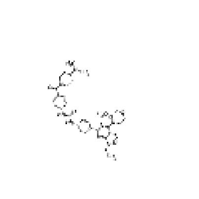 CCn1nnc2c(N3CCOC[C@@H]3C)nc(-c3ccc(NC(=O)Nc4ccc(C(=O)N5CCC(N(C)C)CC5)cc4)cc3)nc21